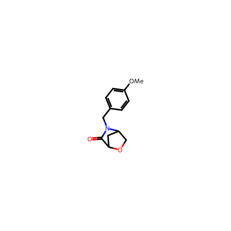 COc1ccc(CN2C(=O)C3CC2CO3)cc1